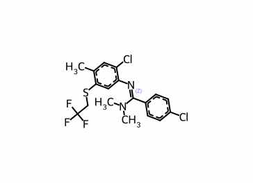 Cc1cc(Cl)c(/N=C(/c2ccc(Cl)cc2)N(C)C)cc1SCC(F)(F)F